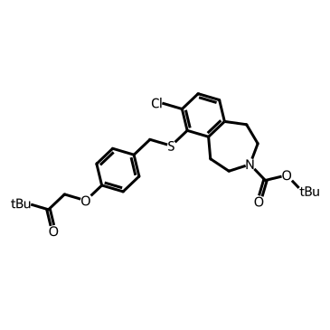 CC(C)(C)OC(=O)N1CCc2ccc(Cl)c(SCc3ccc(OCC(=O)C(C)(C)C)cc3)c2CC1